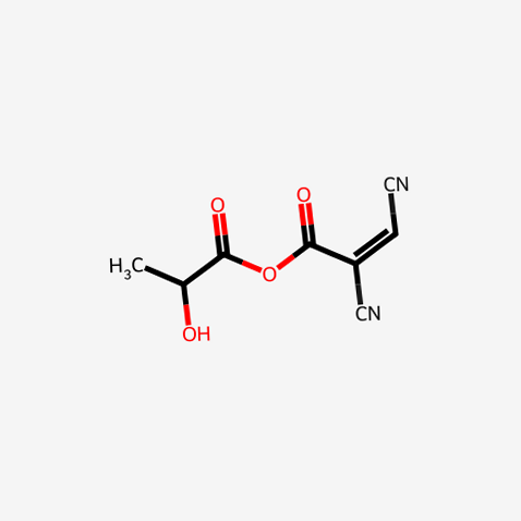 CC(O)C(=O)OC(=O)C(C#N)=CC#N